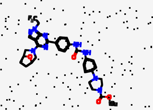 CC(C)(C)OC(=O)N1CCN(c2ccc(NC(=O)Nc3ccc(-c4nc(N5CC6CCC(C5)O6)c5cnn(CC(F)(F)F)c5n4)cc3)cc2)CC1